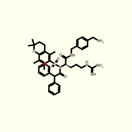 Cc1c(C)c(S(=O)(=O)N(C(=O)C(c2ccccc2)c2ccccc2)[C@H](CCCNC(=N)N)C(=O)NCc2ccc(CN)cc2)c(C)c2c1OC(C)(C)CC2